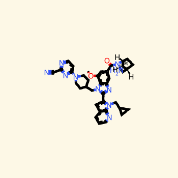 COc1cc(C(=O)N2C[C@H]3CC[C@@H]2[C@@H]3N)cc2nc(-c3cc4cccnc4n3CC3CC3)n(CC3CCN(c4ccnc(C#N)n4)CC3)c12